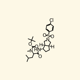 CC(C)CC(C(=O)N[C@@H]1CC[C@H]2CN(S(=O)(=O)c3ccc(Cl)cc3)C[C@H]21)N(C)C(=O)OC(C)(C)C